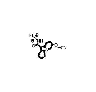 CCS(=O)(=O)NC(=O)c1c2ccccc2n2cc(OCC#N)ccc12